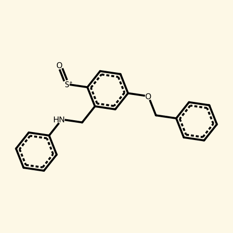 O=[S+]c1ccc(OCc2ccccc2)cc1CNc1ccccc1